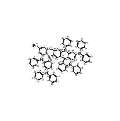 CC(C)(C)c1cc2c3c(c1)N(c1ccccc1)c1cc(N(c4ccccc4)c4ccccc4)ccc1B3c1cc3c(nc1O2)N(c1ccccc1)c1cc(N(c2ccccc2)c2ccccc2)cc2c1B3c1ccccc1N2c1ccccc1